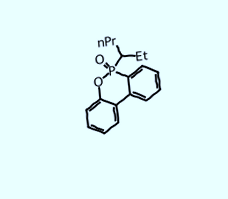 CCCC(CC)P1(=O)Oc2ccccc2-c2ccccc21